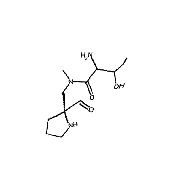 CC(O)C(N)C(=O)N(C)C[C@]1(C=O)CCCN1